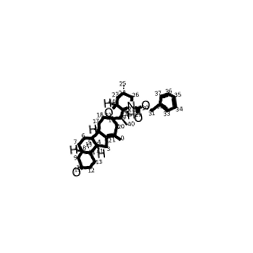 CC1=C2C[C@H]3C(CC[C@H]4CC(=O)CC[C@@]43C)[C@@H]2CCC2(C1)O[C@@H]1C[C@H](C)CN(C(=O)OCc3ccccc3)[C@H]1[C@H]2C